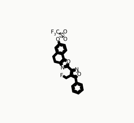 O=S(=O)(Oc1ccc2c(c1)CCc1nc(-c3noc(-c4ccccc4)c3CF)oc1-2)C(F)(F)F